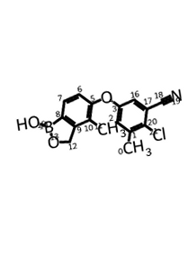 Cc1cc(Oc2ccc3c(c2C)COB3O)cc(C#N)c1Cl